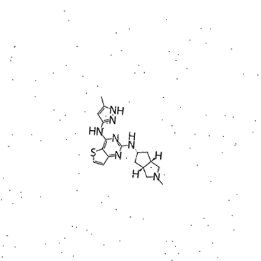 Cc1cc(Nc2nc(N[C@@H]3C[C@@H]4CN(C)C[C@@H]4C3)nc3ccsc23)n[nH]1